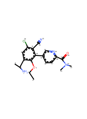 CCOc1c(C(C)N)cc(Cl)c(C#N)c1-c1ccc(C(=O)N(C)C)nc1